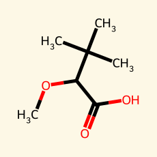 COC(C(=O)O)C(C)(C)C